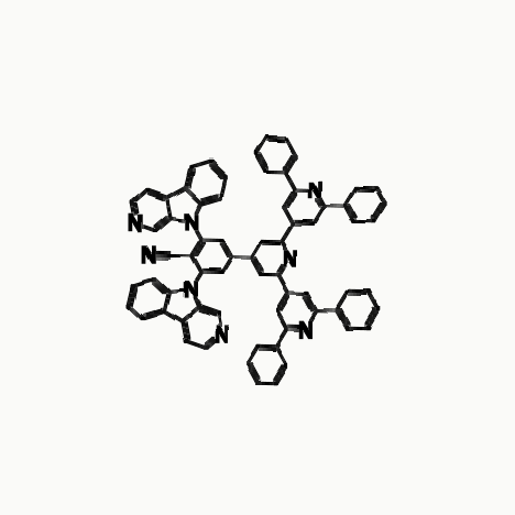 N#Cc1c(-n2c3ccccc3c3ccncc32)cc(-c2cc(-c3cc(-c4ccccc4)nc(-c4ccccc4)c3)nc(-c3cc(-c4ccccc4)nc(-c4ccccc4)c3)c2)cc1-n1c2ccccc2c2ccncc21